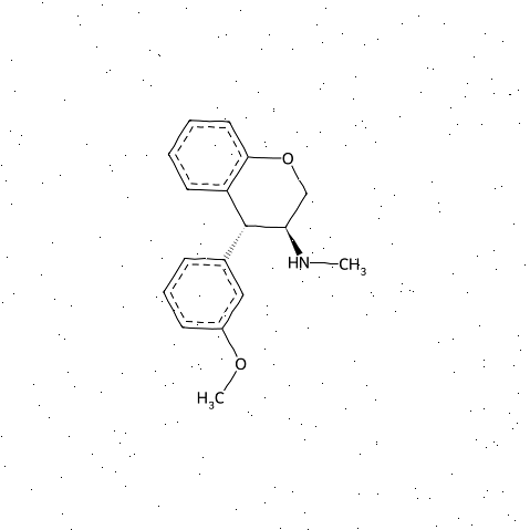 CN[C@@H]1COc2ccccc2[C@H]1c1cccc(OC)c1